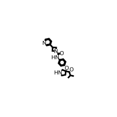 CC(C)C(=O)[C@]1(Oc2ccc(NC(=O)N3CC(c4cccnc4)C3)cc2)CCNC1